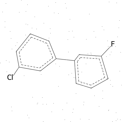 Fc1cccc(-c2cccc(Cl)c2)c1